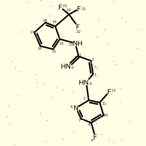 N=C(/C=C\Nc1ncc(F)cc1F)Nc1ccccc1C(F)(F)F